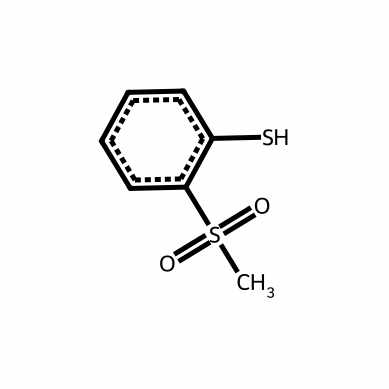 CS(=O)(=O)c1ccccc1S